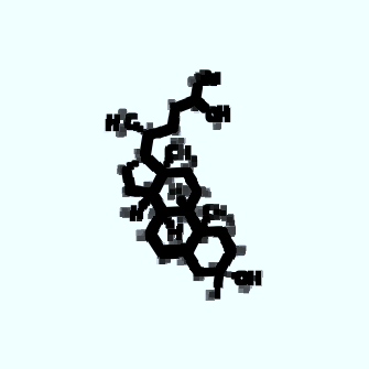 C[C@H](CCC(O)C(C)(C)C)[C@H]1CC[C@H]2[C@@H]3CC=C4C[C@](O)(I)CC[C@]4(C)[C@H]3CC[C@]12C